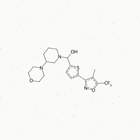 Cc1c(-c2ccc(C(O)N3CCCC(N4CCOCC4)C3)s2)noc1C(F)(F)F